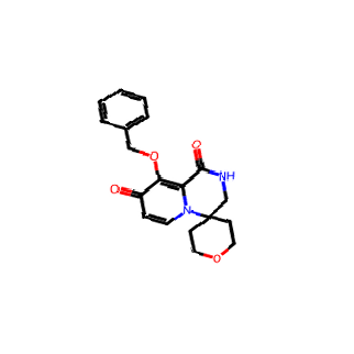 O=C1NCC2(CCOCC2)n2ccc(=O)c(OCc3ccccc3)c21